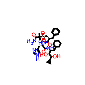 CC(C)(C(N)=O)S(=O)(=O)C[C@@H](Cc1ccccc1)C(=O)N[C@@H](Cc1c[nH]cn1)C(=O)N[C@@H](CC1CCCCC1)[C@@H](O)[C@@H](O)C1CC1